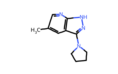 Cc1cnc2[nH]nc(N3CCCC3)c2c1